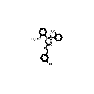 COc1ccccc1N(CC(=O)NCc1cccc(O)c1)S(=O)(=O)c1ccccc1C